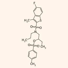 CCCN(CC(CC)OS(=O)(=O)c1ccc(C)cc1)S(=O)(=O)c1sc2ccc(F)cc2c1C